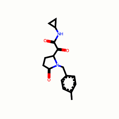 Cc1ccc(CN2C(=O)CCC2C(=O)C(=O)NC2CC2)cc1